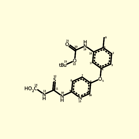 Cc1ccc(Oc2ccc(NC(=S)NC(=O)O)nc2)cc1NC(=O)OC(C)(C)C